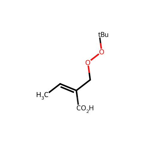 CC=C(COOC(C)(C)C)C(=O)O